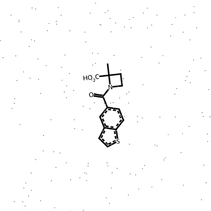 CC1(C(=O)O)CCN1C(=O)c1ccc2sccc2c1